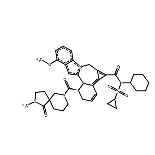 COc1cccc2c1cc1n2CC2=C(C(=O)N(C3CCCCC3)S(=O)(=O)C3CC3)C2=C2C=CC[C@@H](C(=O)N3CCCC4(CCN(C)C4=O)C3)C21